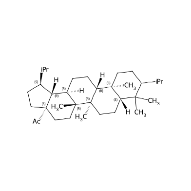 CC(=O)[C@]12CC[C@@H](C(C)C)[C@@H]1[C@H]1CC[C@@H]3[C@@]4(C)CCC(C(C)C)C(C)(C)[C@@H]4CC[C@@]3(C)[C@]1(C)CC2